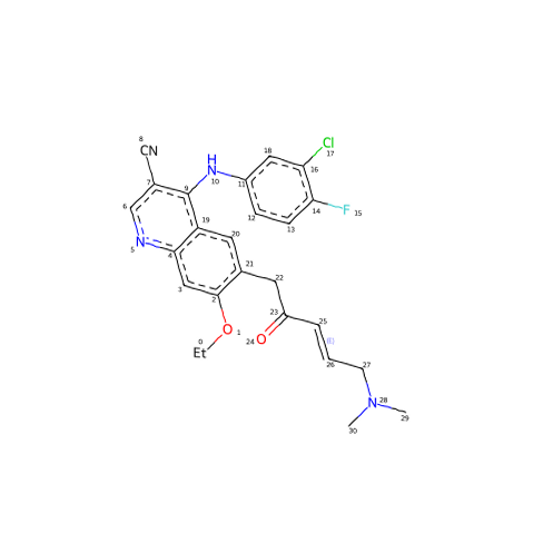 CCOc1cc2ncc(C#N)c(Nc3ccc(F)c(Cl)c3)c2cc1CC(=O)/C=C/CN(C)C